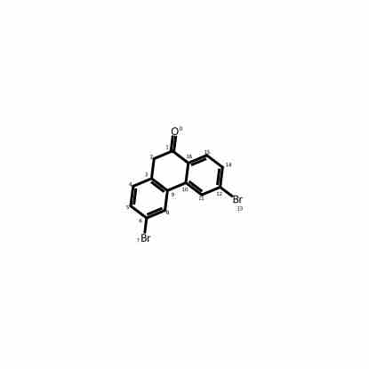 O=C1Cc2ccc(Br)cc2-c2cc(Br)ccc21